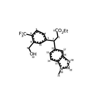 CCOC(=O)CC(c1ccc(C(F)(F)F)c(CO)c1)c1ccc2c(c1)nnn2C